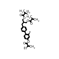 C=C(C)C(=O)OCC(COC(=O)C(=C)C)Cc1ccc(-c2ccc(OC(=O)C(=C)CC)cc2F)cc1